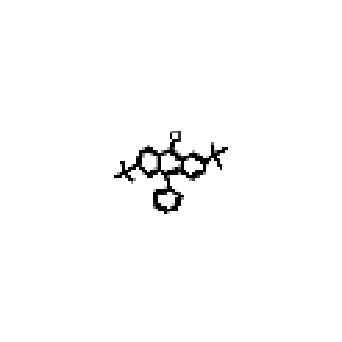 CC(C)(C)c1ccc2c(-c3ccccc3)c3cc(C(C)(C)C)ccc3c(Cl)c2c1